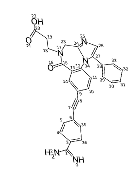 N=C(N)c1ccc(C#Cc2ccc3c(c2)C(=O)N(CCC(=O)O)Cc2ncc(-c4ccccc4)n2-3)cc1